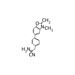 C=C1Oc2ccc(-c3ccc(C[C@H](N)C#N)cc3)cc2N1C